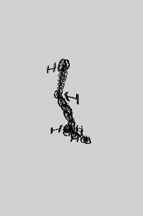 C[C@@H](CCCCNC(=O)CC[C@H](NC(=O)CCOCCOCCOCCOCCNC(=O)CCCCCCCCCCCCC(=O)O)C(=O)O)C(=O)O